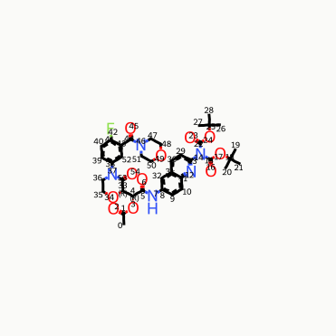 CC(=O)O[C@@H](C(=O)Nc1ccc2nc(N(C(=O)OC(C)(C)C)C(=O)OC(C)(C)C)ccc2c1)[C@H]1OCCN(c2ccc(F)c(C(=O)N3CCOCC3)c2)C1=O